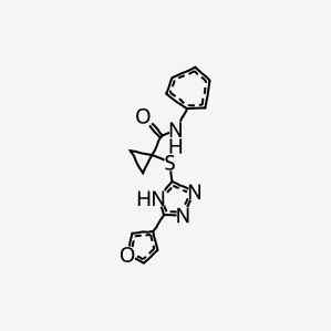 O=C(Nc1ccccc1)C1(Sc2nnc(-c3ccoc3)[nH]2)CC1